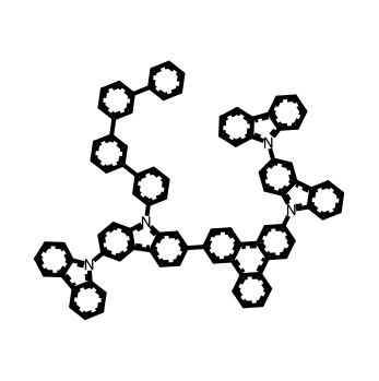 c1ccc(-c2cccc(-c3cccc(-c4cccc(-n5c6ccc(-n7c8ccccc8c8ccccc87)cc6c6ccc(-c7ccc8c(c7)c7ccccc7c7ccc(-n9c%10ccccc%10c%10cc(-n%11c%12ccccc%12c%12ccccc%12%11)ccc%109)cc78)cc65)c4)c3)c2)cc1